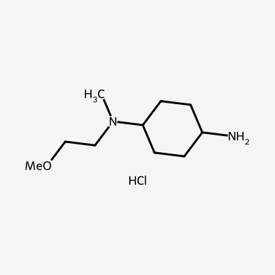 COCCN(C)C1CCC(N)CC1.Cl